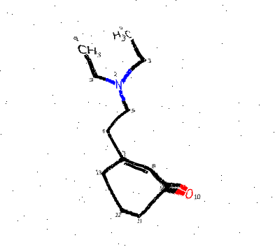 CCN(CC)CCC1=CC(=O)CCC1